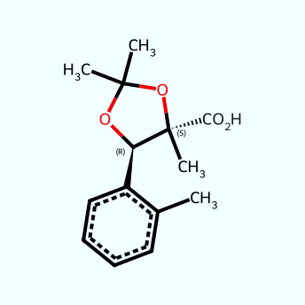 Cc1ccccc1[C@H]1OC(C)(C)O[C@]1(C)C(=O)O